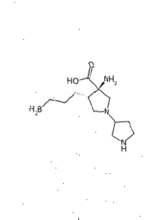 BCCC[C@H]1CN(C2CCNC2)C[C@@]1(N)C(=O)O